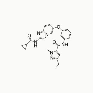 CCc1cc(C(=O)Nc2cccc(Oc3ccc4nc(NC(=O)C5CC5)cn4c3)c2)n(C)n1